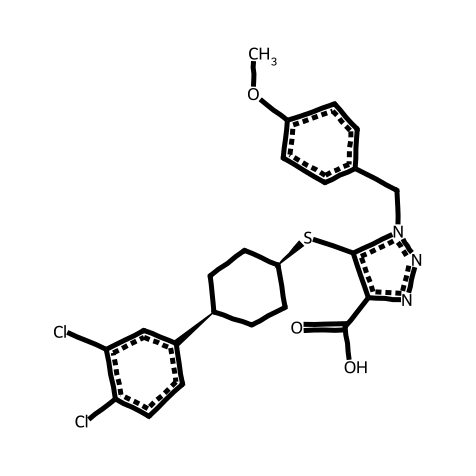 COc1ccc(Cn2nnc(C(=O)O)c2S[C@H]2CC[C@@H](c3ccc(Cl)c(Cl)c3)CC2)cc1